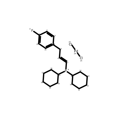 Fc1ccc(CC=CP(C2CCCCC2)C2CCCCC2)cc1.[Cl][Pd][Cl]